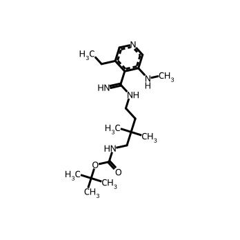 CCc1cncc(NC)c1C(=N)NCCC(C)(C)CNC(=O)OC(C)(C)C